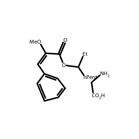 CCCCCC(CC)OC(=O)C(=Cc1ccccc1)OC.NCC(=O)O